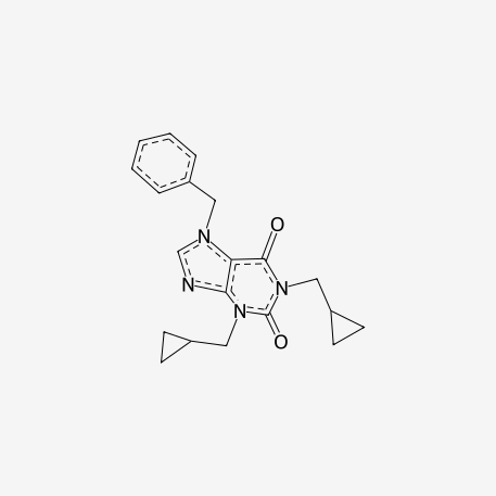 O=c1c2c(ncn2Cc2ccccc2)n(CC2CC2)c(=O)n1CC1CC1